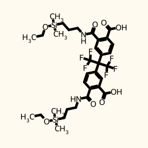 CCO[Si](C)(C)CCCNC(=O)c1ccc(C(c2ccc(C(=O)O)c(C(=O)NCCC[Si](C)(C)OCC)c2)(C(F)(F)F)C(F)(F)F)cc1C(=O)O